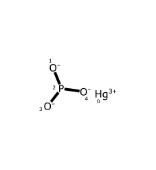 [Hg+3].[O-]P([O-])[O-]